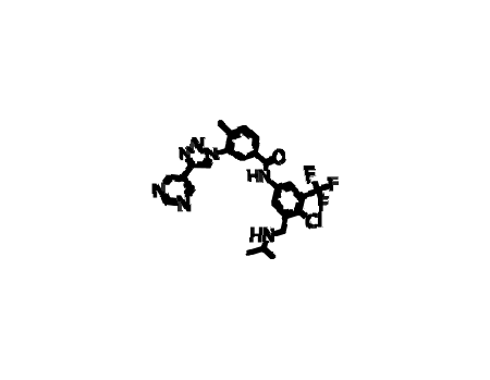 Cc1ccc(C(=O)Nc2cc(CNC(C)C)c(Cl)c(C(F)(F)F)c2)cc1-n1cc(-c2cncnc2)nn1